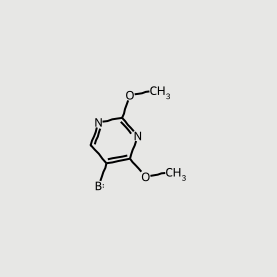 [B]c1cnc(OC)nc1OC